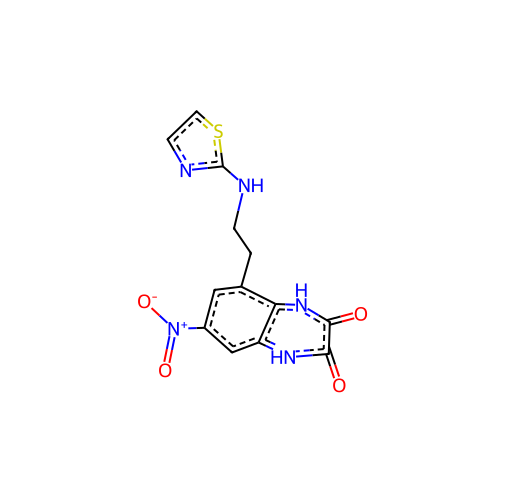 O=c1[nH]c2cc([N+](=O)[O-])cc(CCNc3nccs3)c2[nH]c1=O